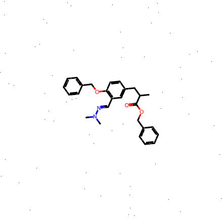 CC(Cc1ccc(OCc2ccccc2)c(/C=N/N(C)C)c1)C(=O)OCc1ccccc1